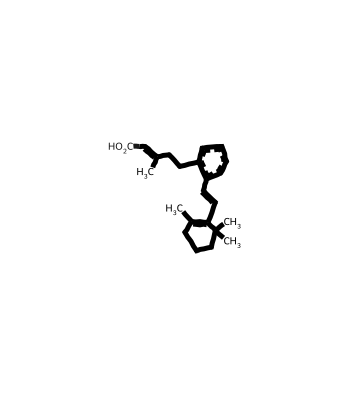 CC1=C(/C=C/c2ccccc2CC/C(C)=C/C(=O)O)C(C)(C)CCC1